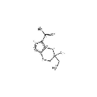 CCC1(C)CCc2[nH]nc(C(=O)O)c2C1